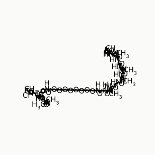 COc1ccc(CCc2nc3cc(-c4c(C)noc4C)ccn3c2NC2CCC(NC(=O)CCOCCOCCOCCOCCOCCOCCOCCOCCNC(=O)CCNC(=O)c3nc(NC(=O)CCNC(=O)c4cc(NC(=O)c5nc(NC(=O)CCNC(=O)c6cc(NC(=O)c7nccn7C)cn6C)cn5C)cn4C)cn3C)CC2)cc1Cl